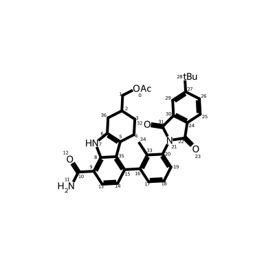 CC(=O)OCC1CCc2c([nH]c3c(C(N)=O)ccc(-c4cccc(N5C(=O)c6ccc(C(C)(C)C)cc6C5=O)c4C)c23)C1